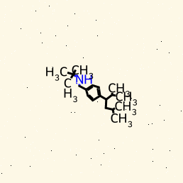 CC(C)CC(c1ccc(CNC(C)(C)C)cc1)C(C)C